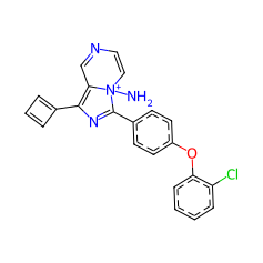 N[N+]12C=CN=CC1=C(C1=CC=C1)N=C2c1ccc(Oc2ccccc2Cl)cc1